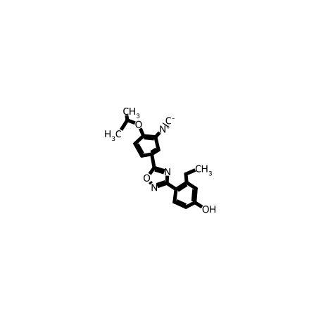 [C-]#[N+]c1cc(-c2nc(-c3ccc(O)cc3CC)no2)ccc1OC(C)C